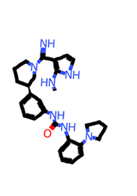 CNc1[nH]ccc1C(=N)N1CCC[C@H](c2cccc(NC(=O)Nc3ccccc3N3CCCC3)c2)C1